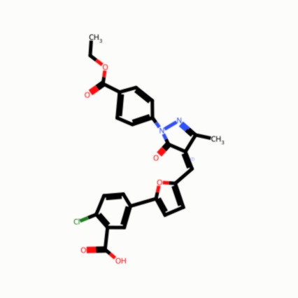 CCOC(=O)c1ccc(N2N=C(C)/C(=C/c3ccc(-c4ccc(Cl)c(C(=O)O)c4)o3)C2=O)cc1